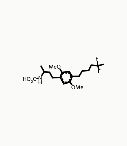 COc1cc(CCC(C)NC(=O)O)c(OC)cc1CCCCC(C)(F)F